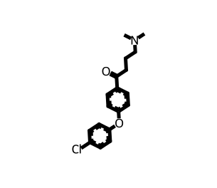 CN(C)CCCC(=O)c1ccc(Oc2ccc(Cl)cc2)cc1